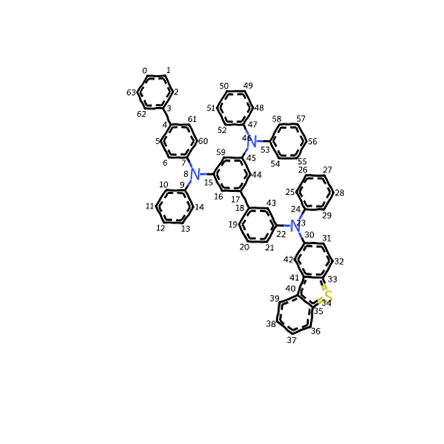 c1ccc(-c2ccc(N(c3ccccc3)c3cc(-c4cccc(N(c5ccccc5)c5ccc6sc7ccccc7c6c5)c4)cc(N(c4ccccc4)c4ccccc4)c3)cc2)cc1